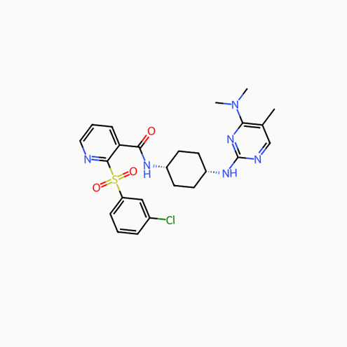 Cc1cnc(N[C@H]2CC[C@@H](NC(=O)c3cccnc3S(=O)(=O)c3cccc(Cl)c3)CC2)nc1N(C)C